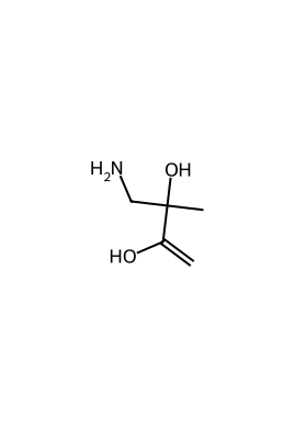 C=C(O)C(C)(O)CN